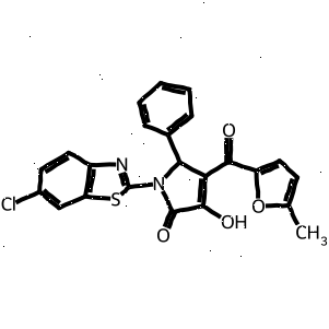 Cc1ccc(C(=O)C2=C(O)C(=O)N(c3nc4ccc(Cl)cc4s3)C2c2ccccc2)o1